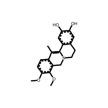 COc1ccc2c(c1OC)CN1CCc3cc(O)c(O)cc3C1=C2C